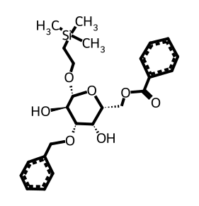 C[Si](C)(C)CCO[C@@H]1O[C@H](COC(=O)c2ccccc2)[C@H](O)[C@H](OCc2ccccc2)[C@H]1O